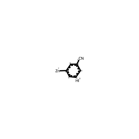 I.N#Cc1ccc[c]([Zn])c1